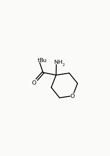 CC(C)(C)C(=O)C1(N)CCOCC1